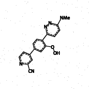 CNc1ccc(-c2ccc(-c3ccnc(C#N)c3)cc2OO)nn1